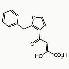 O=C(O)C(O)=CC(=O)c1ccoc1Cc1ccccc1